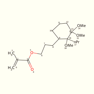 C=C(C)C(=O)OCCCC1CCC[Si](OC)(OC)C1(CCC)OC